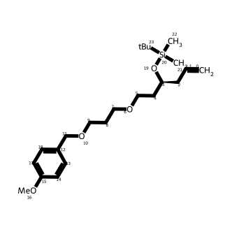 C=CC[C@@H](CCOCCCOCc1ccc(OC)cc1)O[Si](C)(C)C(C)(C)C